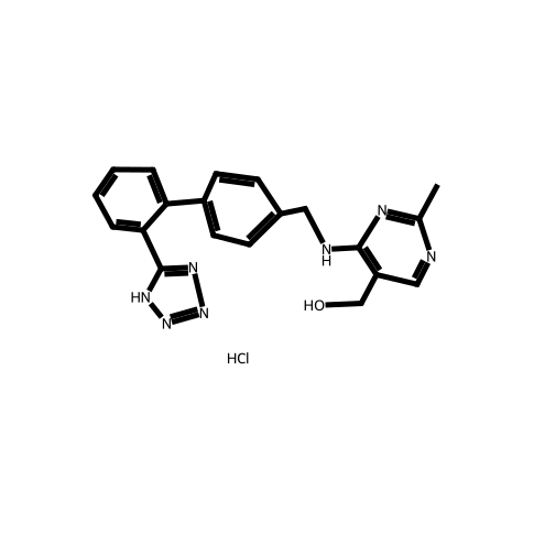 Cc1ncc(CO)c(NCc2ccc(-c3ccccc3-c3nnn[nH]3)cc2)n1.Cl